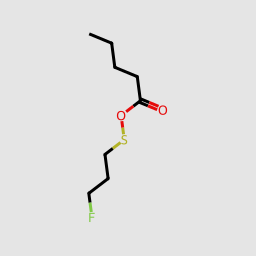 CCCCC(=O)OSCCCF